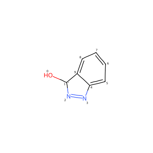 O[C]1N=Nc2ccccc21